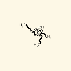 CCCCOC(CC)OP(=O)(O)OC(CC)OCCCC